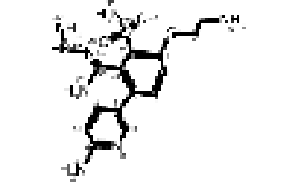 NCCSc1ccc(-c2ccc(N)nc2)c(/C(N)=N/NN)c1S(N)(=O)=O